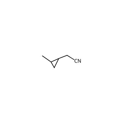 CC1CC1CC#N